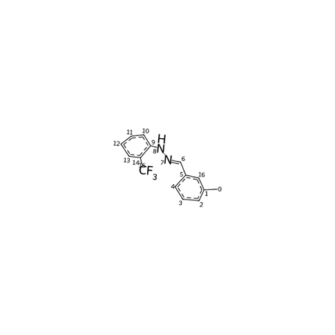 Cc1cccc(/C=N/Nc2ccccc2C(F)(F)F)c1